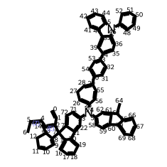 C=C/C(=C\C=C/C)C1(C2=CC=CCC2C)c2ccccc2-c2cc(N(C3=CCC=C(c4ccc(-c5ccc6c(c5)c5ccccc5n6-c5ccccc5)cc4)C=C3)c3ccc4c(c3)C(C)c3ccccc3-4)ccc21